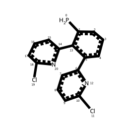 Pc1cccc(-c2cccc(Cl)n2)c1-c1cccc(Cl)n1